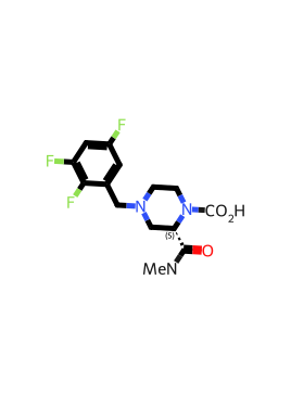 CNC(=O)[C@@H]1CN(Cc2cc(F)cc(F)c2F)CCN1C(=O)O